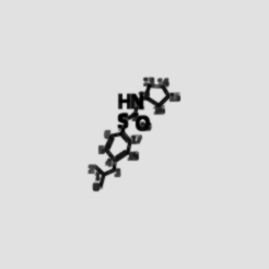 CC(C)Cc1ccc(SC(=O)NC2CCCC2)cc1